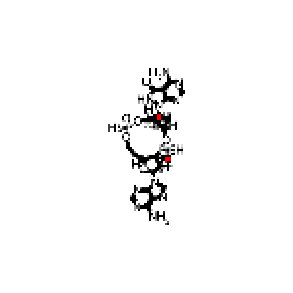 Nc1ncnc2c1ncn2[C@@H]1O[C@@H]2CCOP(=O)(S)O[C@@H]3[C@H](O)[C@H](C[C@H]3n3[nH]c(=O)c4c(N)ncnc43)OP(=O)(S)[C@H]2[C@H]1F